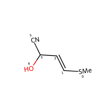 CSC=CC(O)C#N